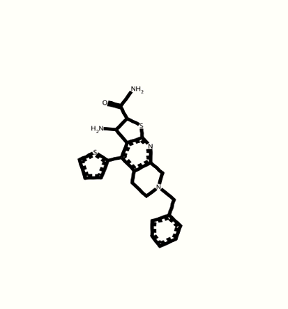 NC(=O)C1Sc2nc3c(c(-c4cccs4)c2C1N)CCN(Cc1ccccc1)C3